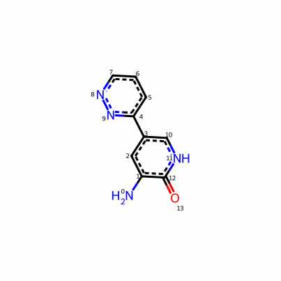 Nc1cc(-c2cccnn2)c[nH]c1=O